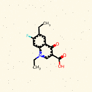 CCc1cc2c(=O)c(C(=O)O)cn(CC)c2cc1F